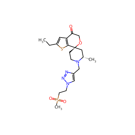 CCc1cc2c(s1)[C@]1(CCN(Cc3cn(CCS(C)(=O)=O)nn3)[C@@H](C)C1)OCC2=O